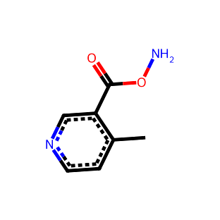 Cc1ccncc1C(=O)ON